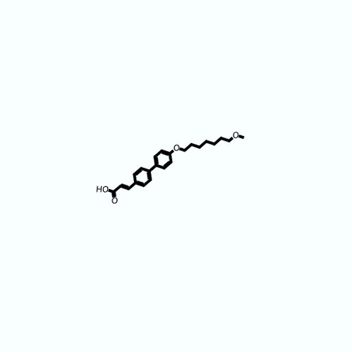 COCCCCCCCOc1ccc(-c2ccc(/C=C/C(=O)O)cc2)cc1